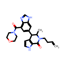 C=CCCN1C(=O)c2[nH]ccc2C(c2cc(C(=O)N3CCOCC3)c3nc[nH]c3c2)C1C